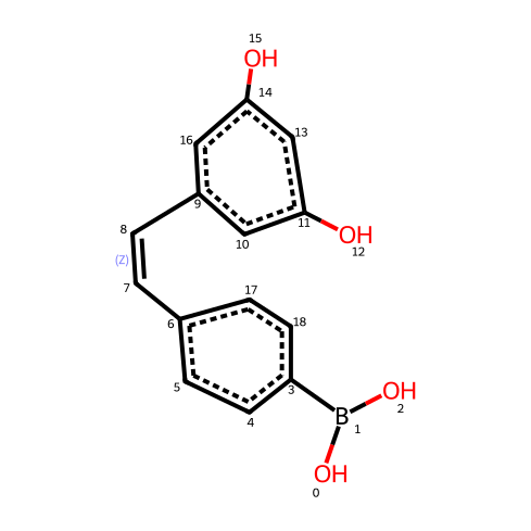 OB(O)c1ccc(/C=C\c2cc(O)cc(O)c2)cc1